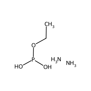 CCOP(O)O.N.N